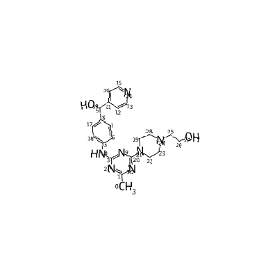 Cc1nc(Nc2ccc(C(O)c3ccncc3)cc2)nc(N2CCN(CCO)CC2)n1